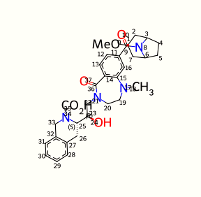 COC1CC2CCC(C1)N2C(=O)c1ccc2c(c1)N(C)CCN(C[C@@H](O)[C@@H]1Cc3ccccc3CN1C(=O)O)C2=O